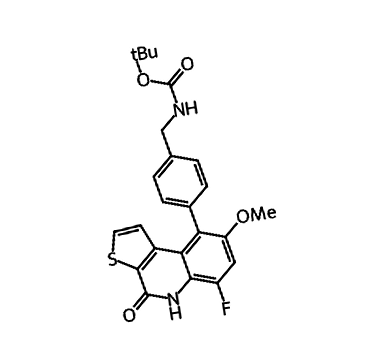 COc1cc(F)c2[nH]c(=O)c3sccc3c2c1-c1ccc(CNC(=O)OC(C)(C)C)cc1